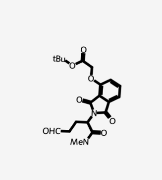 CNC(=O)C(CCC=O)N1C(=O)c2cccc(OCC(=O)OC(C)(C)C)c2C1=O